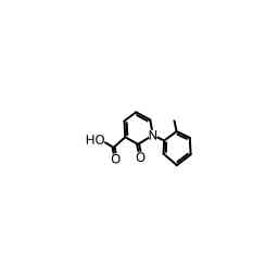 Cc1ccccc1-n1cccc(C(=O)O)c1=O